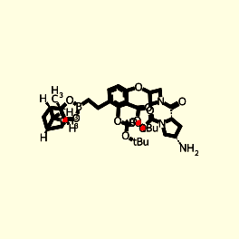 CC(C)(C)OC(=O)Oc1c(CCB2O[C@@H]3C[C@@H]4C[C@@H](C4(C)C)[C@]3(C)O2)ccc(OC2CN(C(=O)[C@@H]3C[C@H](N)CN3C(=O)OC(C)(C)C)C2)c1C(=O)OC(C)(C)C